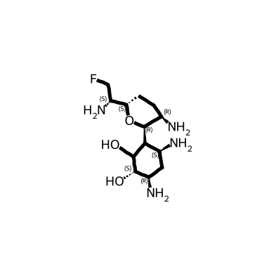 N[C@H](CF)[C@@H]1CC[C@@H](N)[C@@H](C2C(O)[C@@H](O)[C@H](N)C[C@@H]2N)O1